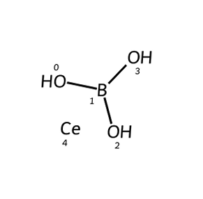 OB(O)O.[Ce]